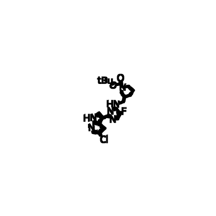 CC(C)(C)OC(=O)N1CCCC(CNc2nc(-c3c[nH]c4ncc(Cl)cc34)ncc2F)C1